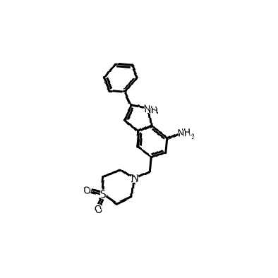 Nc1cc(CN2CCS(=O)(=O)CC2)cc2cc(-c3ccccc3)[nH]c12